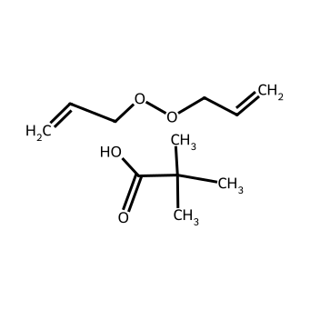 C=CCOOCC=C.CC(C)(C)C(=O)O